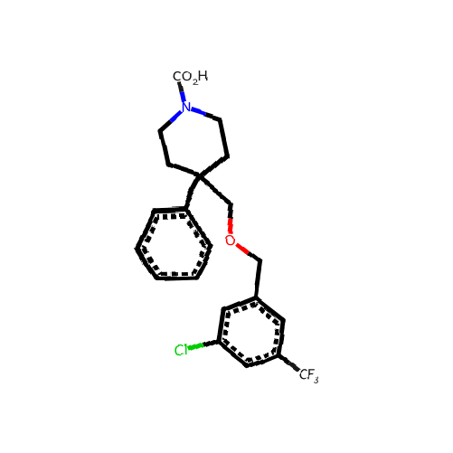 O=C(O)N1CCC(COCc2cc(Cl)cc(C(F)(F)F)c2)(c2ccccc2)CC1